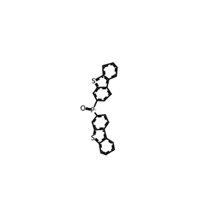 O=[P](c1ccc2c(c1)sc1ccccc12)c1ccc2c(c1)sc1ccccc12